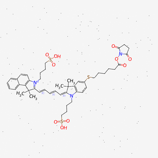 CC1(C)C(/C=C/C=C/C=C2/N(CCCCS(=O)(=O)O)c3ccc(SCCCCCC(=O)ON4C(=O)CCC4=O)cc3C2(C)C)=[N+](CCCCS(=O)(=O)O)c2ccc3ccccc3c21